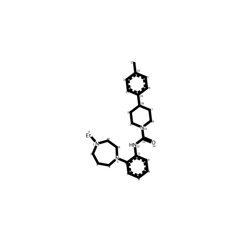 CCN1CCCN(c2ccccc2NC(=O)N2CCC(c3ccc(C)cc3)CC2)CC1